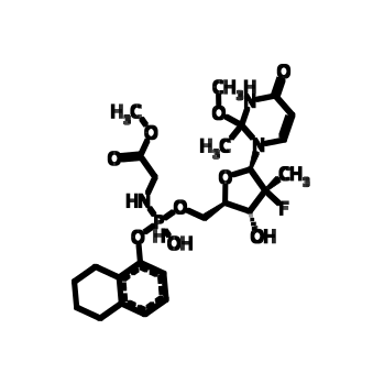 COC(=O)CN[PH](O)(OC[C@H]1O[C@@H](N2C=CC(=O)NC2(C)OC)[C@](C)(F)[C@@H]1O)Oc1cccc2c1CCCC2